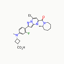 CCc1cc(C(=O)N2CCCCC[C@H]2C)nc2cc(-c3ccc(N(C)[C@H]4C[C@@H](C(=O)O)C4)cc3F)nn12